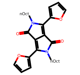 CCCCCCCCN1C(=O)C2=C(c3ccco3)N(CCCCCCCC)C(=O)C2=C1c1ccco1